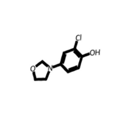 Oc1ccc(N2CCOC2)cc1Cl